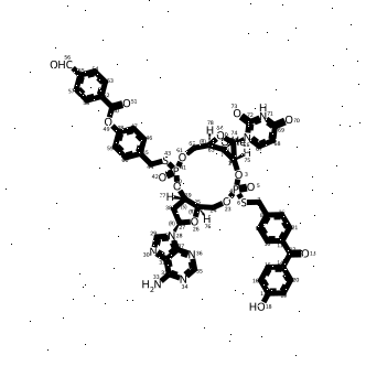 CO[C@H]1[C@H]2OP(=O)(SCc3ccc(C(=O)c4ccc(O)cc4)cc3)OC[C@H]3O[C@@H](n4cnc5c(N)ncnc54)C[C@@H]3OP(=O)(SCc3ccc(OC(=O)c4ccc(C=O)cc4)cc3)OC[C@H]1O[C@H]2n1ccc(=O)[nH]c1=O